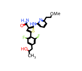 COCCc1cccc(Nc2sc(-c3c(F)cc(CC(C)O)cc3F)cc2C(N)=O)n1